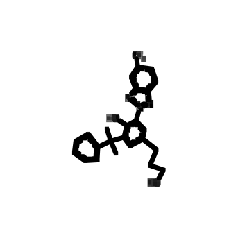 CC(C)(c1ccccc1)c1cc(CCCO)cc(-n2nc3ccc(C(F)(F)F)cc3n2)c1O